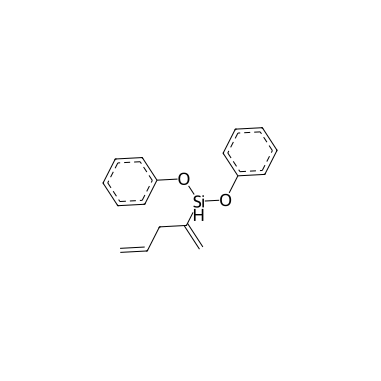 C=CCC(=C)[SiH](Oc1ccccc1)Oc1ccccc1